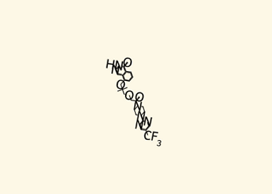 CC(C)(COCC(=O)N1CCN(c2ncc(C(F)(F)F)cn2)CC1)Oc1cccc2c(=O)[nH]ncc12